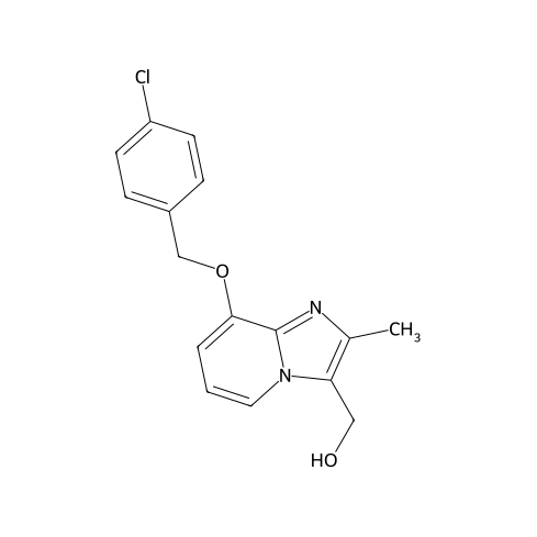 Cc1nc2c(OCc3ccc(Cl)cc3)cccn2c1CO